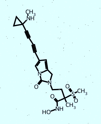 CNC1(C#CC#Cc2cc3n(c2)C(=O)N(CCC(C)(C(=O)NO)S(C)(=O)=O)C3)CC1